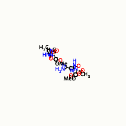 CCOc1cc([C@@H](CS(C)(=O)=O)n2c(=O)[nH]c3cc(C(=C/N)/C=N/CCOc4cc([C@@H](CS(C)(=O)=O)n5c(=O)[nH]c6cc(C)cnc65)ccc4OC)cnc32)ccc1OC